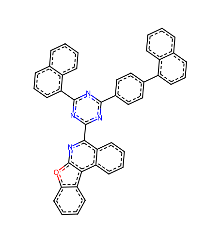 c1ccc2c(-c3ccc(-c4nc(-c5cccc6ccccc56)nc(-c5nc6oc7ccccc7c6c6ccccc56)n4)cc3)cccc2c1